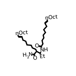 CCCCCCCCC=CCCCCCCCC(=O)NC(CC)C(CCCCCCC=CCCCCCCCC)C(N)=O